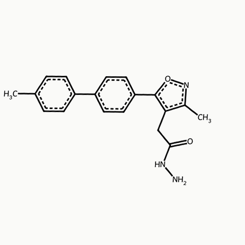 Cc1ccc(-c2ccc(-c3onc(C)c3CC(=O)NN)cc2)cc1